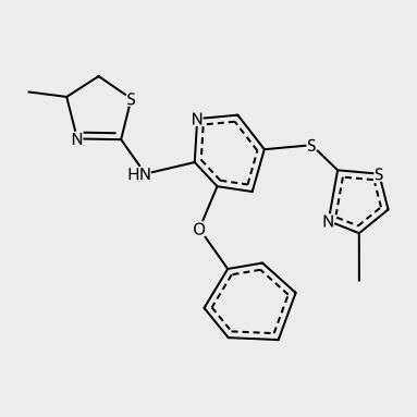 Cc1csc(Sc2cnc(NC3=NC(C)CS3)c(Oc3ccccc3)c2)n1